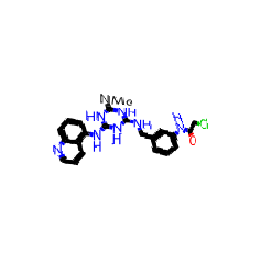 CNC1NC(NCc2cccc(NC(=O)CCl)c2)NC(Nc2cccc3ncccc23)N1